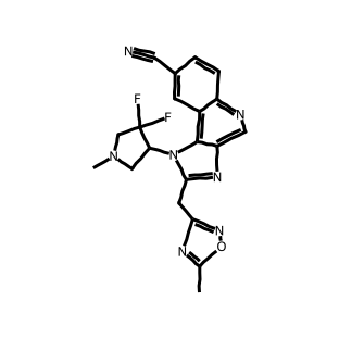 Cc1nc(Cc2nc3cnc4ccc(C#N)cc4c3n2C2CN(C)CC2(F)F)no1